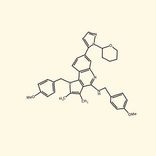 COc1ccc(CNc2nc3cc(-c4ccnn4C4CCCCO4)ccc3c3c2c(C)c(C)n3Cc2ccc(OC)cc2)cc1